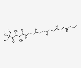 CCCNCCNCCNCCNCCNC(=O)[C@H](O)[C@@H](O)C(=O)C(CC)(CC)OC